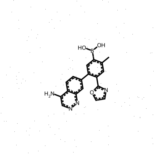 Cc1cc(-c2ncco2)c(-c2ccc3c(N)cnnc3c2)cc1B(O)O